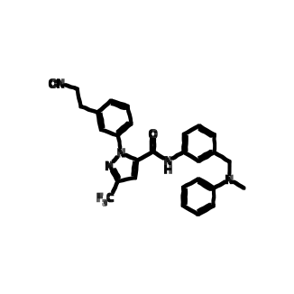 CN(Cc1cccc(NC(=O)c2cc(C(F)(F)F)nn2-c2cccc(CCN=O)c2)c1)c1ccccc1